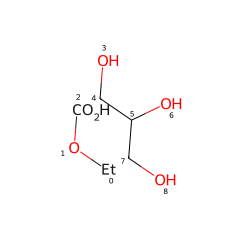 CCOC(=O)O.OCC(O)CO